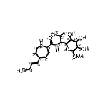 CSC1OC(C(NC(=O)C2CC=C(/C=C/CN)CCN2)C(C)Cl)C(O)C(O)C1O